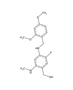 CNc1cc(NCc2ccc(OC)cc2OC)c(F)cc1CO